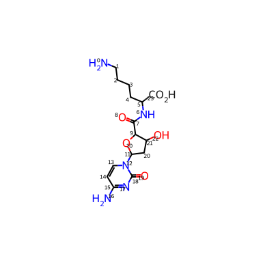 NCCCCC(NC(=O)C1OC(n2ccc(N)nc2=O)CC1O)C(=O)O